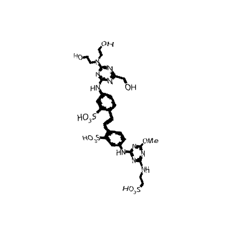 COc1nc(NCCS(=O)(=O)O)nc(Nc2ccc(C=Cc3ccc(Nc4nc(CO)nc(N(CCO)CCO)n4)cc3S(=O)(=O)O)c(S(=O)(=O)O)c2)n1